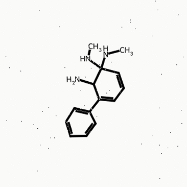 CNC1(NC)C=CC=C(c2ccccc2)C1N